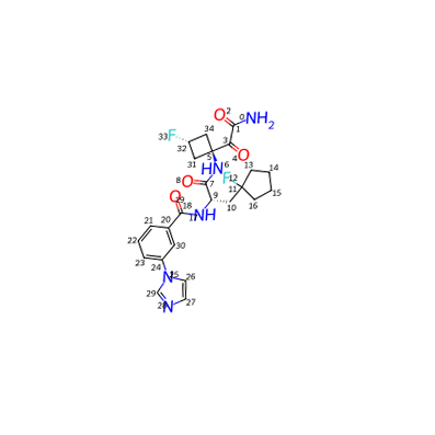 NC(=O)C(=O)[C@]1(NC(=O)[C@H](CC2(F)CCCC2)NC(=O)c2cccc(-n3ccnc3)c2)C[C@H](F)C1